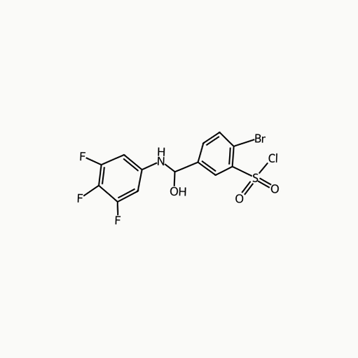 O=S(=O)(Cl)c1cc(C(O)Nc2cc(F)c(F)c(F)c2)ccc1Br